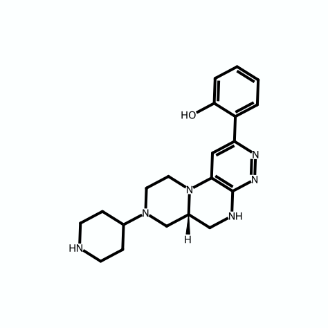 Oc1ccccc1-c1cc2c(nn1)NC[C@@H]1CN(C3CCNCC3)CCN21